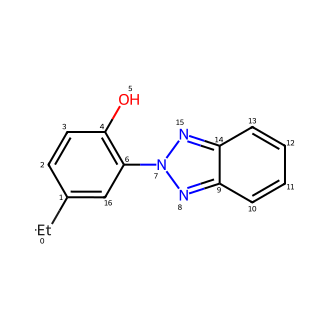 C[CH]c1ccc(O)c(-n2nc3ccccc3n2)c1